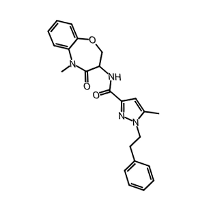 Cc1cc(C(=O)NC2COc3ccccc3N(C)C2=O)nn1CCc1ccccc1